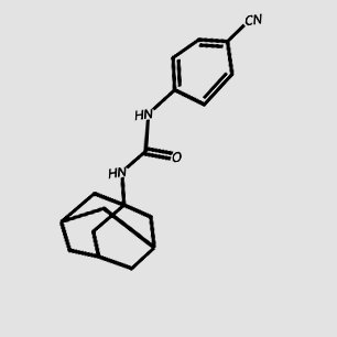 N#Cc1ccc(NC(=O)NC23CC4CC(CC(C4)C2)C3)cc1